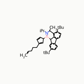 C=CCCCC1=CC(B2C3c4cc(C(C)(C)C)ccc4-c4ccc(C(C)(C)C)c(c43)C(C)N2C(C)C)C=C1